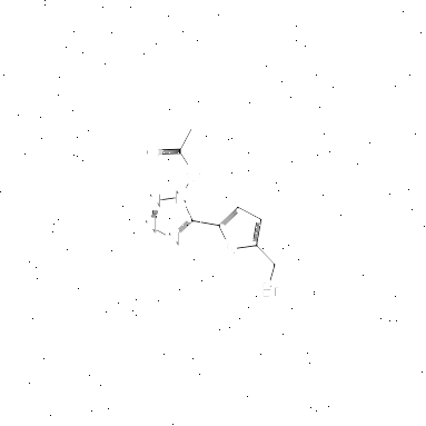 CC(=O)On1nnnc1-c1ccc(CBr)s1